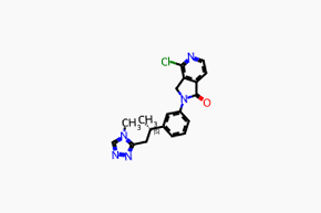 C[C@@H](Cc1nncn1C)c1cccc(N2Cc3c(ccnc3Cl)C2=O)c1